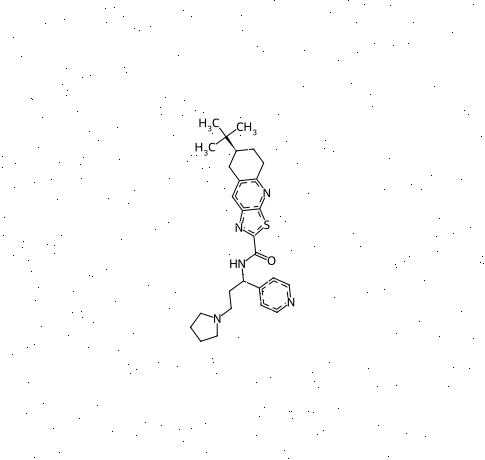 CC(C)(C)[C@H]1CCc2nc3sc(C(=O)NC(CCN4CCCC4)c4ccncc4)nc3cc2C1